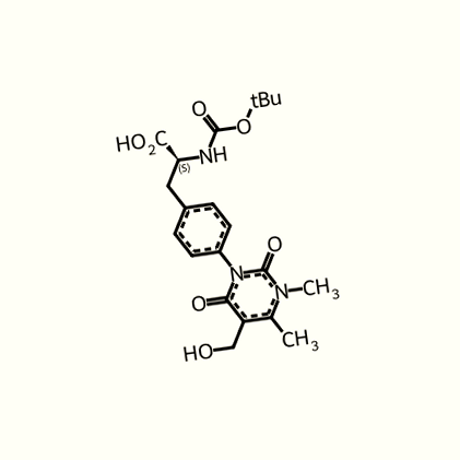 Cc1c(CO)c(=O)n(-c2ccc(C[C@H](NC(=O)OC(C)(C)C)C(=O)O)cc2)c(=O)n1C